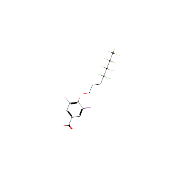 O=C(O)c1cc(I)c(OCCCC(F)(F)C(F)(F)C(F)(F)C(F)(F)F)c(I)c1